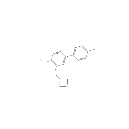 COc1ccc(-c2ccc(F)cc2C)cc1OC1CNC1